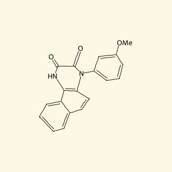 COc1cccc(-n2c(=O)c(=O)[nH]c3c4ccccc4ccc32)c1